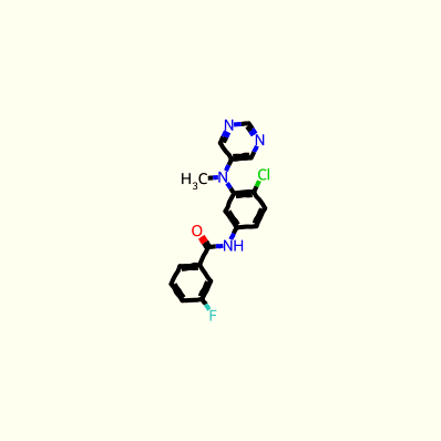 CN(c1cncnc1)c1cc(NC(=O)c2cccc(F)c2)ccc1Cl